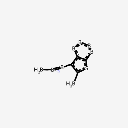 B/B=B\c1c(B)sc2bbbbc12